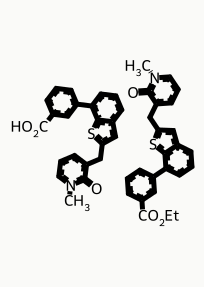 CCOC(=O)c1cccc(-c2cccc3cc(Cc4cccn(C)c4=O)sc23)c1.Cn1cccc(Cc2cc3cccc(-c4cccc(C(=O)O)c4)c3s2)c1=O